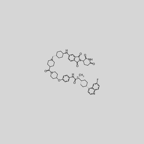 C[C@@H](C(=O)Nc1ccc(OC2CCN(C(=O)C3CCN(C[C@H]4CC[C@H](Nc5ccc6c(c5)C(=O)N(C5CCC(=O)NC5=O)C6=O)CC4)CC3)CC2)cc1)[C@H]1CC[C@@H](c2ccnc3ccc(F)cc32)CC1